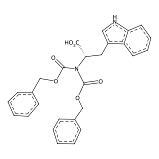 O=C(O)[C@H](Cc1c[nH]c2ccccc12)N(C(=O)OCc1ccccc1)C(=O)OCc1ccccc1